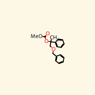 COC(=O)OC(C)(COCc1ccccc1)c1ccccc1